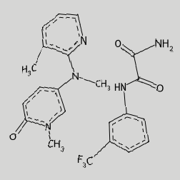 Cc1cccnc1N(C)c1ccc(=O)n(C)c1.NC(=O)C(=O)Nc1cccc(C(F)(F)F)c1